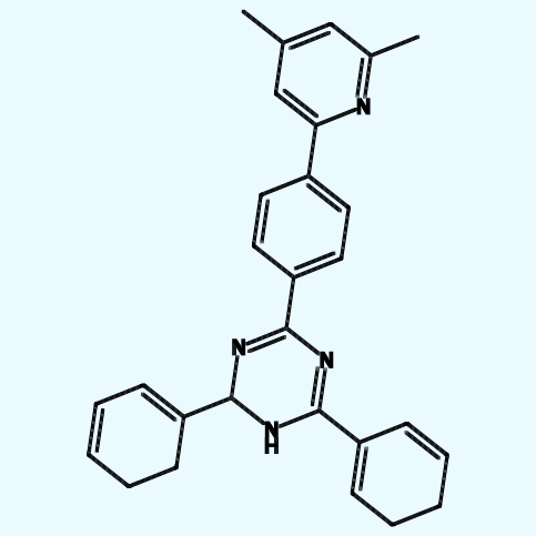 Cc1cc(C)nc(-c2ccc(C3=NC(C4=CC=CCC4)NC(C4=CCCC=C4)=N3)cc2)c1